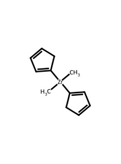 [CH3][Zr]([CH3])([C]1=CC=CC1)[C]1=CC=CC1